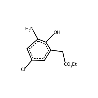 CCOC(=O)Cc1cc(Cl)cc(N)c1O